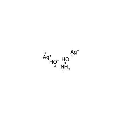 N.[Ag+].[Ag+].[OH-].[OH-]